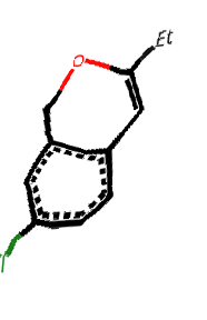 CCC1=Cc2ccc(Cl)cc2CO1